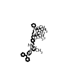 Cc1cc(N2CCN(C(c3ccccc3)c3ccccc3)CC2)nc(NCc2ccc(CN(CCCN(C(=O)OC(C)(C)C)C3CCCCC3)C(=O)OC(C)(C)C)cc2)n1